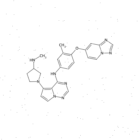 CNC1CCN(c2ccn3ncnc(Nc4ccc(Oc5ccn6ncnc6c5)c(C)c4)c23)C1